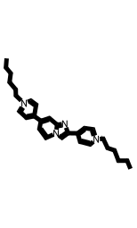 CCCCCC[n+]1ccc(-c2ccn3cc(-c4cc[n+](CCCCCC)cc4)nc3c2)cc1